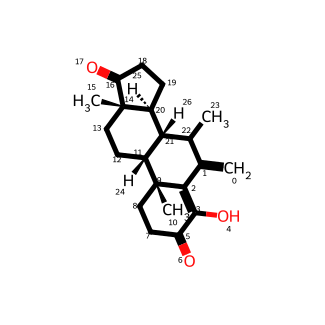 C=C1C2=C(O)C(=O)CC[C@]2(C)[C@@H]2CC[C@]3(C)C(=O)CC[C@H]3[C@@H]2C1C